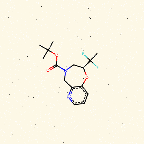 CC(C)(C)OC(=O)N1Cc2ncccc2O[C@H](C(C)(F)F)C1